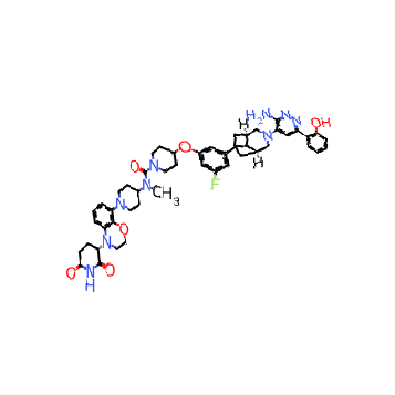 CN(C(=O)N1CCC(Oc2cc(F)cc(C34C[C@H]5CN(c6cc(-c7ccccc7O)nnc6N)C[C@@H](C3)C54)c2)CC1)C1CCN(c2cccc3c2OCCN3[C@H]2CCC(=O)NC2=O)CC1